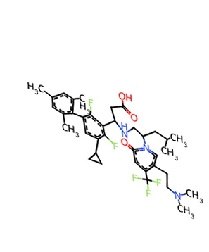 Cc1cc(C)c(-c2cc(C3CC3)c(F)c(C(CC(=O)O)NCC(CC(C)C)n3cc(CCN(C)C)c(C(F)(F)F)cc3=O)c2F)c(C)c1